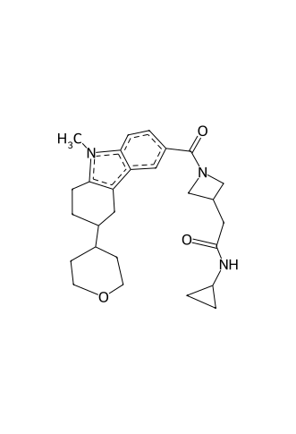 Cn1c2c(c3cc(C(=O)N4CC(CC(=O)NC5CC5)C4)ccc31)CC(C1CCOCC1)CC2